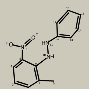 Cc1cccc([N+](=O)[O-])c1NNc1ccccc1